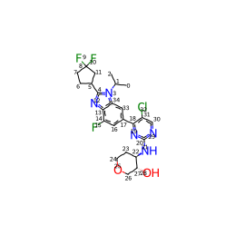 CC(C)n1c(C2CCC(F)(F)C2)nc2c(F)cc(-c3nc(N[C@@H]4CCOC[C@H]4O)ncc3Cl)cc21